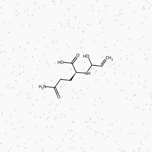 C=CC(O)N[C@@H](CCC(N)=O)C(=O)O